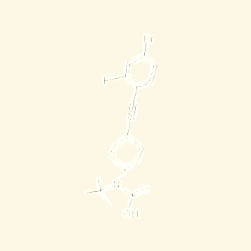 CC(C)(C)N(C(=O)O)c1ccc(C#Cc2ccc(Br)cc2F)cc1